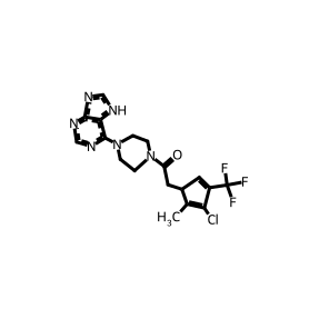 CC1=C(Cl)C(C(F)(F)F)=CC1CC(=O)N1CCN(c2ncnc3nc[nH]c23)CC1